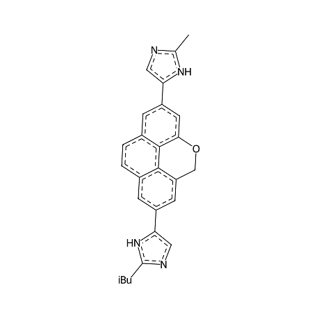 CCC(C)c1ncc(-c2cc3c4c(ccc5cc(-c6cnc(C)[nH]6)cc(c54)OC3)c2)[nH]1